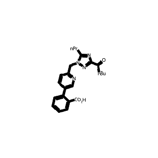 CCCCC(=O)c1nc(CCC)n(Cc2ccc(-c3ccccc3C(=O)O)cn2)n1